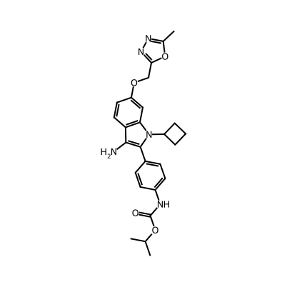 Cc1nnc(COc2ccc3c(N)c(-c4ccc(NC(=O)OC(C)C)cc4)n(C4CCC4)c3c2)o1